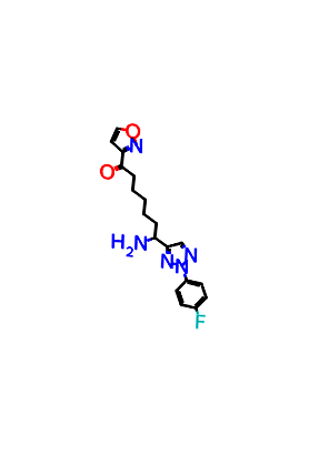 NC(CCCCCC(=O)c1ccon1)c1cnn(-c2ccc(F)cc2)n1